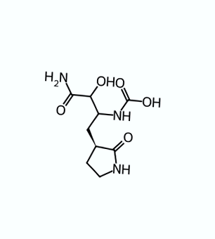 NC(=O)C(O)C(C[C@@H]1CCNC1=O)NC(=O)O